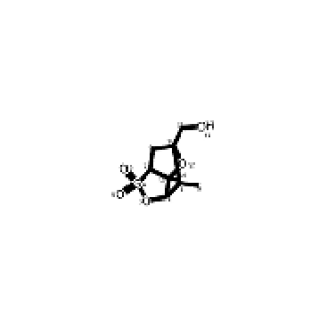 CC1C2OS(=O)(=O)C3CC1(CO)OC23C